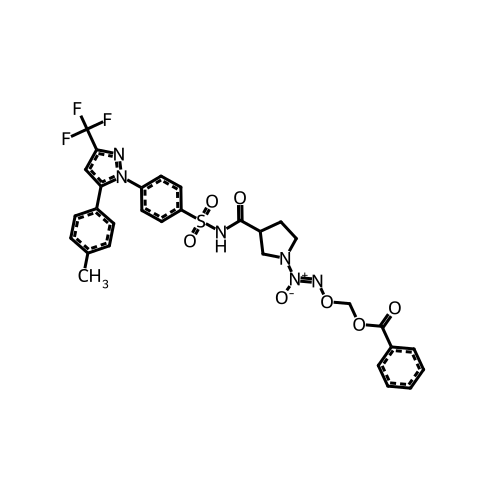 Cc1ccc(-c2cc(C(F)(F)F)nn2-c2ccc(S(=O)(=O)NC(=O)C3CCN(/[N+]([O-])=N/OCOC(=O)c4ccccc4)C3)cc2)cc1